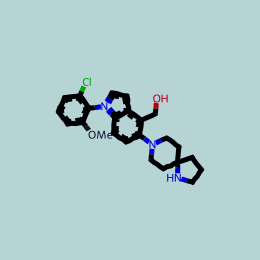 COc1cccc(Cl)c1-n1ccc2c(CO)c(N3CCC4(CCCN4)CC3)ccc21